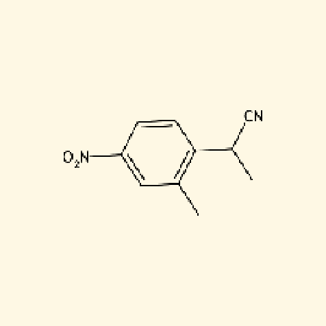 Cc1cc([N+](=O)[O-])ccc1C(C)C#N